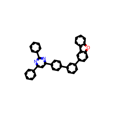 c1ccc(-c2cc(-c3ccc(-c4cccc(-c5ccc6oc7ccccc7c6c5)c4)cc3)nc(-c3ccccc3)n2)cc1